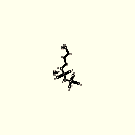 O=S(=O)([O-])OS(=O)(=O)OCCCO.[Na+]